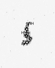 CNC(=O)COc1ccc(-c2nc3c(NC4CCN(Cc5ccc(C(F)(F)F)cc5)C4)c(Cl)cnc3[nH]2)cc1